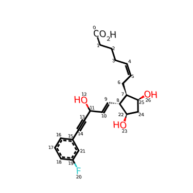 O=C(O)CCC/C=C\C[C@@H]1[C@@H](/C=C/C(O)C#Cc2cccc(F)c2)[C@H](O)C[C@@H]1O